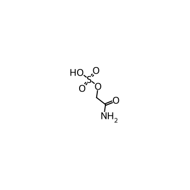 NC(=O)COS(=O)(=O)O